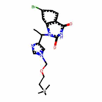 CC(c1cn(COCC[Si](C)(C)C)cn1)n1c(=O)[nH]c(=O)c2ccc(Br)cc21